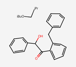 CC(C)COCC(C)C.O=C(c1ccccc1Cc1ccccc1)C(O)c1ccccc1